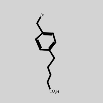 O=C(O)CCCCc1ccc(CBr)cc1